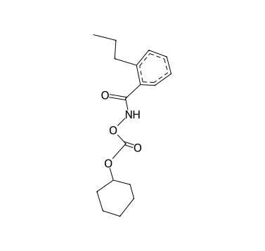 CCCc1ccccc1C(=O)NOC(=O)OC1CCCCC1